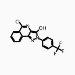 Oc1c2nc(Cl)c3ccccc3c2nn1-c1ccc(C(F)(F)F)cc1